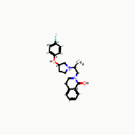 CC(CN1CCc2ccccc2C1=O)N1CCC(Oc2ccc(F)cc2)C1